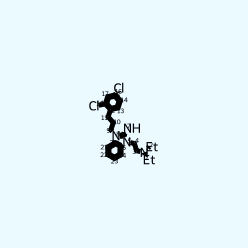 CCN(CC)CCn1c(=N)n(CCCc2ccc(Cl)cc2Cl)c2ccccc21